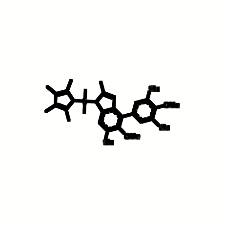 COc1c(C(C)(C)C)cc(-c2c3c(cc(C(C)(C)C)c2OC)C(S(C)(C)C2C(C)=C(C)C(C)=C2C)C(C)=C3)cc1C(C)(C)C